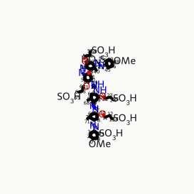 COc1ccc(N=Nc2cc(OCCCS(=O)(=O)O)c(N=Nc3cc(OCCCS(=O)(=O)O)c(NCNc4cc(C)c(/N=N\c5cc(C)c(N=Nc6ccc(OC)cc6S(=O)(=O)O)cc5OCCCS(=O)(=O)O)cc4OCCCS(=O)(=O)O)cc3C)cc2C)c(S(=O)(=O)O)c1